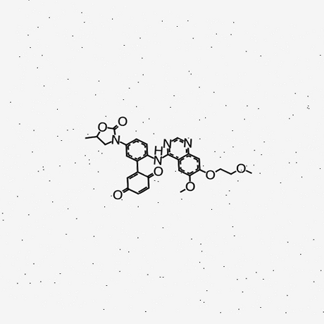 COCCOc1cc2ncnc(Nc3ccc(N4CC(C)OC4=O)cc3C3=CC(=O)C=CC3=O)c2cc1OC